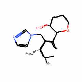 C=C(C(Cn1ccnc1)[C@@H](OC)[C@@H](C)CCCC)[C@@H]1OCCC[C@@H]1O